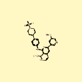 COc1cncc(-c2cc3c(c(Nc4ccc(C5CCN(S(C)(=O)=O)CC5)cc4)n2)C(C=O)NC=C3)c1